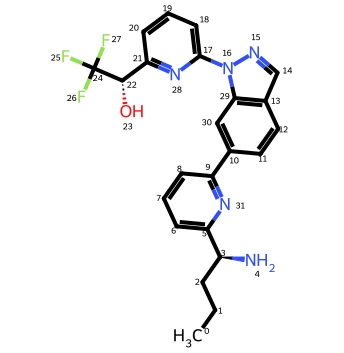 CCC[C@H](N)c1cccc(-c2ccc3cnn(-c4cccc([C@H](O)C(F)(F)F)n4)c3c2)n1